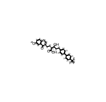 COc1ccc2nnn(CC[C@H](C(=O)O)[C@H](O)CCc3ccc(-c4ccc(C(F)(F)F)cc4)cc3)c(=O)c2c1